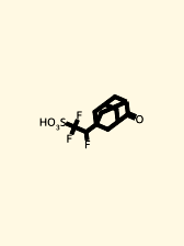 O=C1C2CC3CC1CC(C(F)C(F)(F)S(=O)(=O)O)(C3)C2